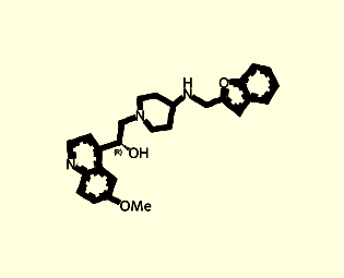 COc1ccc2nccc([C@@H](O)CN3CCC(NCc4cc5ccccc5o4)CC3)c2c1